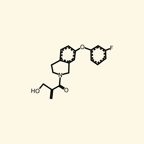 C=C(CO)C(=O)N1CCc2ccc(Oc3cccc(F)c3)cc2C1